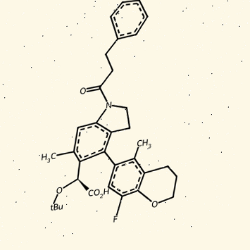 Cc1cc2c(c(-c3cc(F)c4c(c3C)CCCO4)c1[C@H](OC(C)(C)C)C(=O)O)CCN2C(=O)CCc1ccccc1